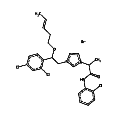 CC=CCCOC(C[n+]1ccn(C(C)C(=O)Nc2ccccc2Cl)c1)c1ccc(Cl)cc1Cl.[Br-]